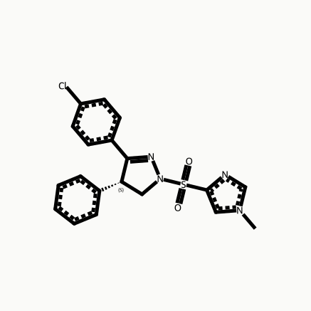 Cn1cnc(S(=O)(=O)N2C[C@H](c3ccccc3)C(c3ccc(Cl)cc3)=N2)c1